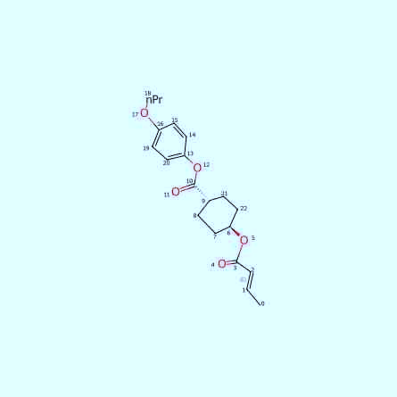 C/C=C/C(=O)O[C@H]1CC[C@H](C(=O)Oc2ccc(OCCC)cc2)CC1